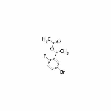 CC(=O)OC(C)c1cc(Br)ccc1F